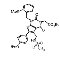 CCOC(=O)Cn1c(=O)c2c(CNS(C)(=O)=O)c(-c3ccc(OCC(C)C)cc3)sc2n(Cc2ccccc2SC)c1=O